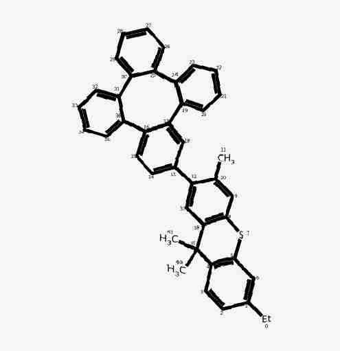 CCc1ccc2c(c1)Sc1cc(C)c(-c3ccc4c(c3)-c3ccccc3-c3ccccc3-c3ccccc3-4)cc1C2(C)C